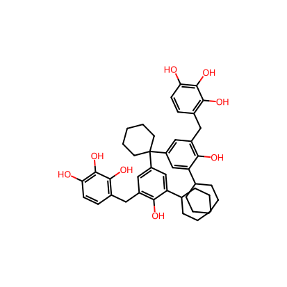 Oc1ccc(Cc2cc(C3(c4cc(Cc5ccc(O)c(O)c5O)c(O)c(C5CCCCC5)c4)CCCCC3)cc(C3CCCCC3)c2O)c(O)c1O